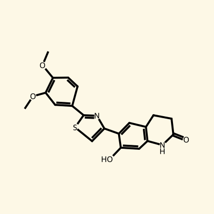 COc1ccc(-c2nc(-c3cc4c(cc3O)NC(=O)CC4)cs2)cc1OC